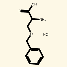 Cl.NC(COCc1ccccc1)C(=O)O